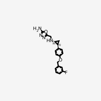 Nc1nnc(CN[C@@H]2C[C@H]2c2ccc(OCc3cccc(F)c3)cc2)o1